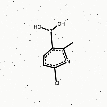 Cc1nc(Cl)ccc1B(O)O